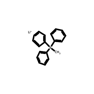 C[B-](c1ccccc1)(c1ccccc1)c1ccccc1.[Li+]